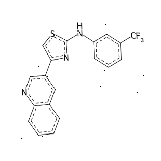 FC(F)(F)c1cccc(Nc2nc(-c3cnc4ccccc4c3)cs2)c1